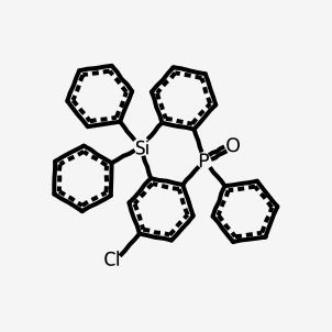 O=P1(c2ccccc2)c2ccccc2[Si](c2ccccc2)(c2ccccc2)c2cc(Cl)ccc21